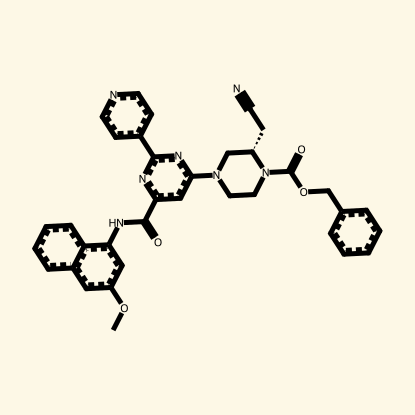 COc1cc(NC(=O)c2cc(N3CCN(C(=O)OCc4ccccc4)[C@@H](CC#N)C3)nc(-c3ccncc3)n2)c2ccccc2c1